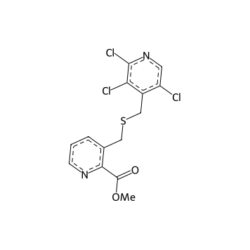 COC(=O)c1ncccc1CSCc1c(Cl)cnc(Cl)c1Cl